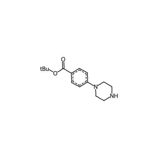 CC(C)(C)OC(=O)c1ccc(N2CCNCC2)cc1